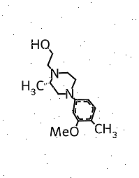 COc1cc(N2CCN(CCO)[C@@H](C)C2)ccc1C